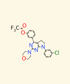 O=C(Oc1cccc(-c2nc(N3CCOCC3)nc3c2CCN3c2cccc(Cl)c2)c1)C(F)(F)F